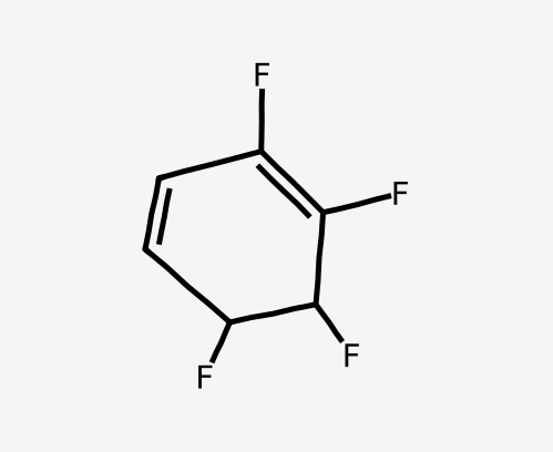 FC1=C(F)C(F)C(F)C=C1